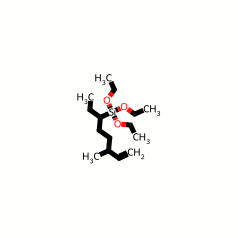 C=CC(C)CCC(CC)[Si](OCC)(OCC)OCC